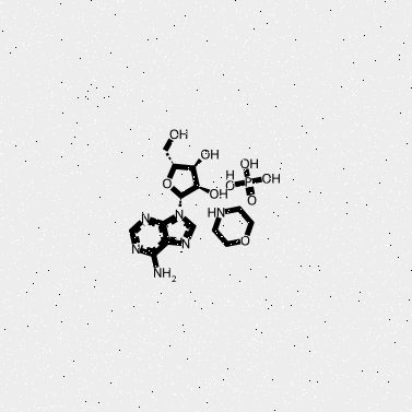 C1COCCN1.Nc1ncnc2c1ncn2[C@@H]1O[C@H](CO)[C@@H](O)[C@H]1O.O=P(O)(O)O